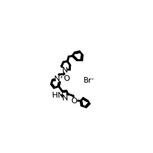 O=C(C[n+]1cccc(-c2cc(COc3ccccc3)n[nH]2)c1)N1CCC(Cc2ccccc2)CC1.[Br-]